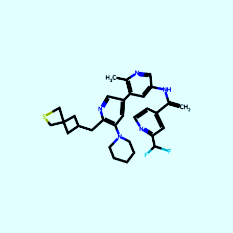 C=C(Nc1cnc(C)c(-c2cnc(CC3CC4(CSC4)C3)c(N3CCCCC3)c2)c1)c1ccnc(C(F)F)c1